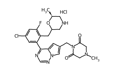 C[C@H]1CNCC(Cc2c(F)cc(Cl)cc2-c2ncnn3cc(CN4C(=O)CN(C)CC4=O)cc23)O1.Cl